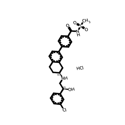 CS(=O)(=O)NC(=O)c1ccc(-c2ccc3c(c2)C[C@@H](NC[C@@H](O)c2cccc(Cl)c2)CC3)cc1.Cl